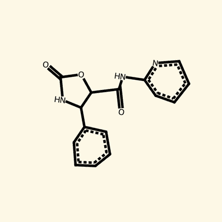 O=C1NC(c2ccccc2)C(C(=O)Nc2ccccn2)O1